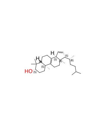 CC(C)CC[C@@H](C)[C@H]1C=C[C@@H]2C3=C(CC[C@@]21C)[C@@]1(C)CC[C@H](O)C(C)(C)[C@@H]1CC3